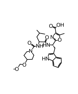 COCOC1CCN(C(=O)NC(CC(C)C)C(=O)N[C@H](Cc2c[nH]c3ccccc23)c2nc(C(=O)O)c(C)o2)CC1